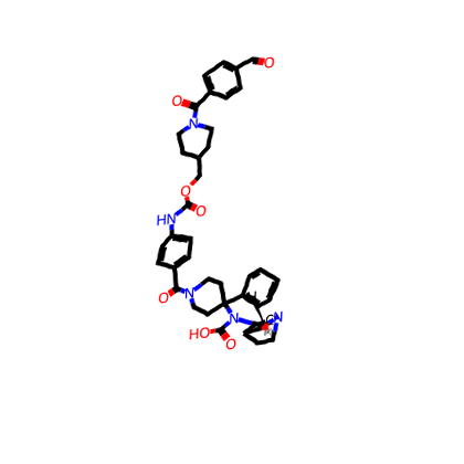 O=Cc1ccc(C(=O)N2CCC(COC(=O)Nc3ccc(C(=O)N4CCC(c5ccccc5)(N(C(=O)O)[C@H]5CN6CCC5CC6)CC4)cc3)CC2)cc1